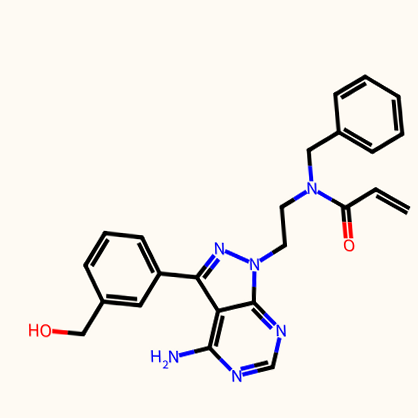 C=CC(=O)N(CCn1nc(-c2cccc(CO)c2)c2c(N)ncnc21)Cc1ccccc1